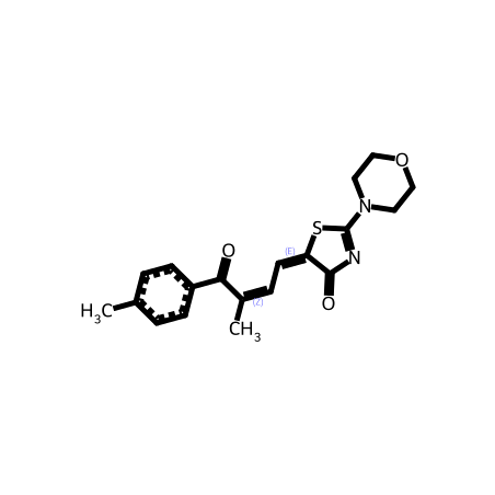 C/C(=C/C=C1/SC(N2CCOCC2)=NC1=O)C(=O)c1ccc(C)cc1